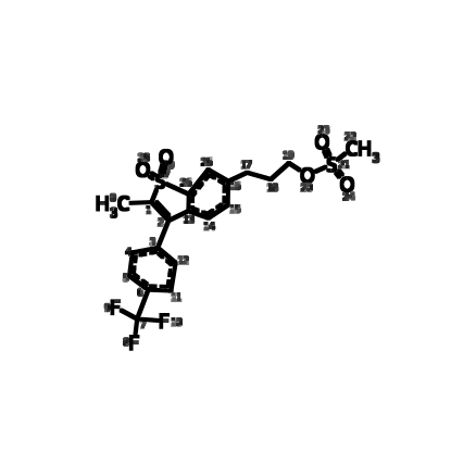 CC1=C(c2ccc(C(F)(F)F)cc2)c2ccc(CCCOS(C)(=O)=O)cc2S1(=O)=O